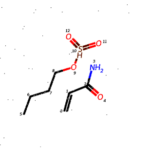 C=CC(N)=O.CCCCO[SH](=O)=O